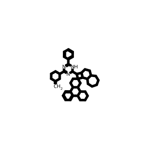 C=C1CCCC(C2=NC(C3C4CCC5CCCCCC5C4C34CCC3c5ccccc5C5CCCCC5C3C4)NC(c3ccccc3)=N2)C1